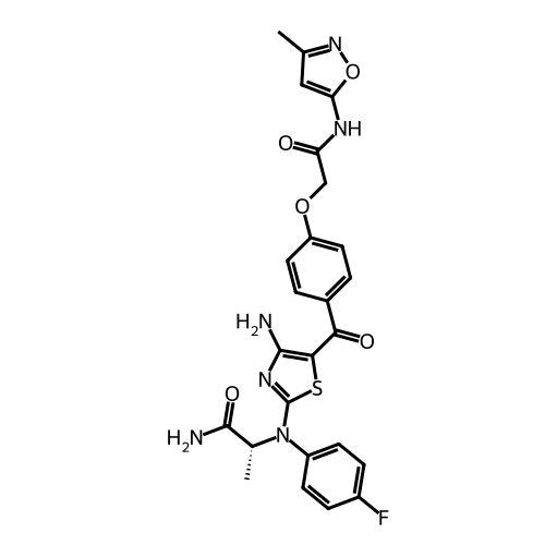 Cc1cc(NC(=O)COc2ccc(C(=O)c3sc(N(c4ccc(F)cc4)[C@H](C)C(N)=O)nc3N)cc2)on1